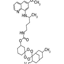 COc1cc(NC(C)CCCNC(=O)OC2CCCC3(C2)OOC2(OO3)C(C)CC3CC(C)CC2C3)c2ncccc2c1